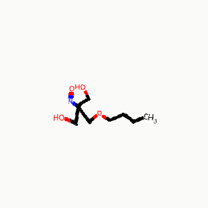 CCCCOCC(CO)(CO)N=O